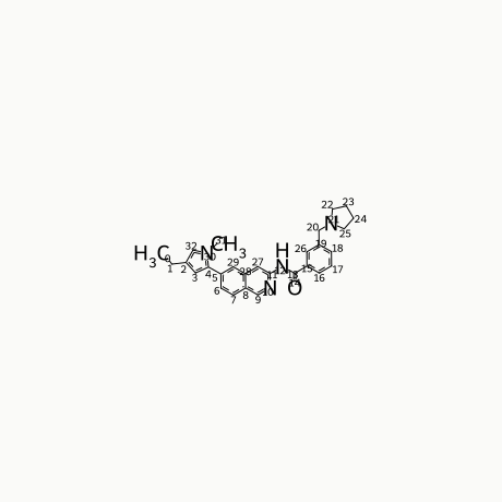 CCc1cc(-c2ccc3cnc(NC(=O)c4cccc(CN5CCCC5)c4)cc3c2)n(C)c1